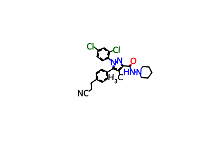 Cc1c(C(=O)NN2CCCCC2)nn(-c2ccc(Cl)cc2Cl)c1-c1ccc(CCC#N)cc1